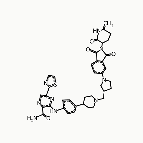 C=C1CCC(N2C(=O)c3ccc(N4CC[C@@H](CN5CCC(c6ccc(Nc7nc(-c8nccs8)cnc7C(N)=O)cc6)CC5)C4)cc3C2=O)C(=O)N1